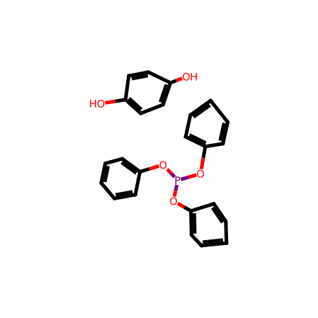 Oc1ccc(O)cc1.c1ccc(OP(Oc2ccccc2)Oc2ccccc2)cc1